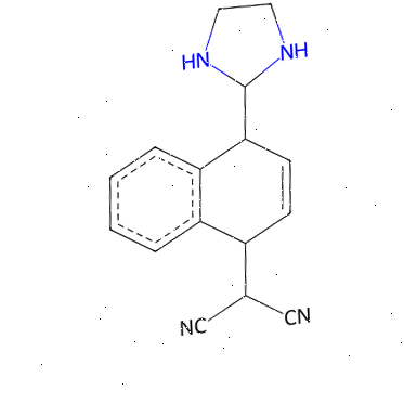 N#CC(C#N)C1C=CC(C2NCCN2)c2ccccc21